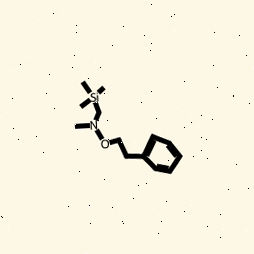 CN(C[Si](C)(C)C)OCCc1ccccc1